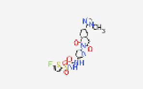 CN1CCN=C1c1ccc2c(c1)CC(=O)N(c1ccc(NC(=O)NS(=O)(=O)c3ccc(F)s3)cn1)C2=O